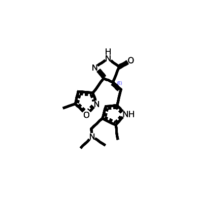 Cc1cc(C2=NNC(=O)/C2=C/c2cc(CN(C)C)c(C)[nH]2)no1